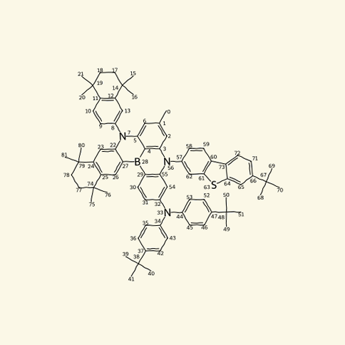 Cc1cc2c3c(c1)N(c1ccc4c(c1)C(C)(C)CCC4(C)C)c1cc4c(cc1B3c1ccc(N(c3ccc(C(C)(C)C)cc3)c3ccc(C(C)(C)C)cc3)cc1N2c1ccc2c(c1)sc1cc(C(C)(C)C)ccc12)C(C)(C)CCC4(C)C